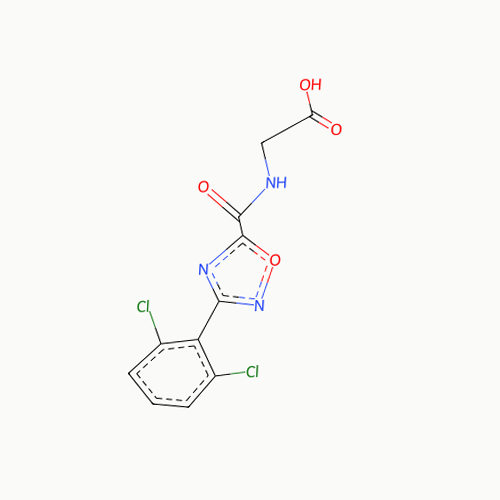 O=C(O)CNC(=O)c1nc(-c2c(Cl)cccc2Cl)no1